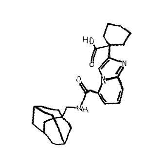 O=C(NCC12CC3CC(CC(C3)C1)C2)c1cccc2nc(C3(C(=O)O)CCCCC3)cn12